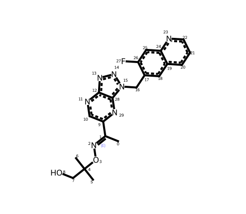 C/C(=N\OC(C)(C)CO)c1cnc2nnn(Cc3cc4cccnc4cc3F)c2n1